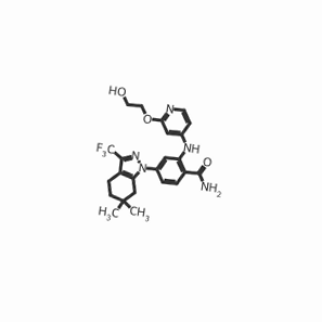 CC1(C)CCc2c(C(F)(F)F)nn(-c3ccc(C(N)=O)c(Nc4ccnc(OCCO)c4)c3)c2C1